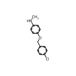 CNc1ccc(OCc2ccc(Cl)cc2)cc1